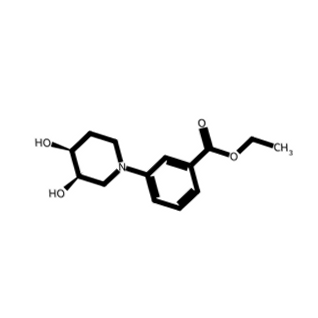 CCOC(=O)c1cccc(N2CC[C@H](O)[C@H](O)C2)c1